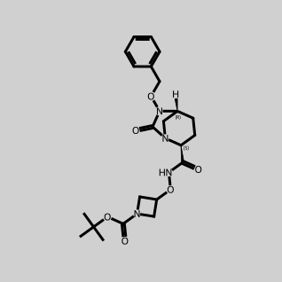 CC(C)(C)OC(=O)N1CC(ONC(=O)[C@@H]2CC[C@@H]3CN2C(=O)N3OCc2ccccc2)C1